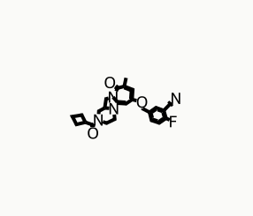 CC1=C=C(OCc2ccc(F)c(C#N)c2)C=C2N(CC3CN(C(=O)C4CCC4)CCN23)C1=O